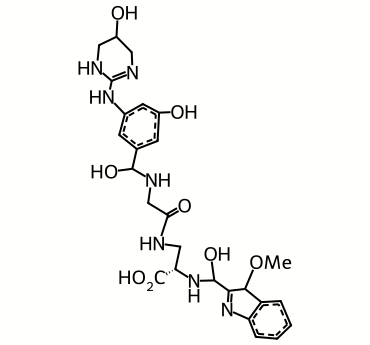 COC1C(C(O)N[C@@H](CNC(=O)CNC(O)c2cc(O)cc(NC3=NCC(O)CN3)c2)C(=O)O)=Nc2ccccc21